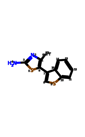 CC(C)c1nc(N)sc1-c1csc2ccccc12